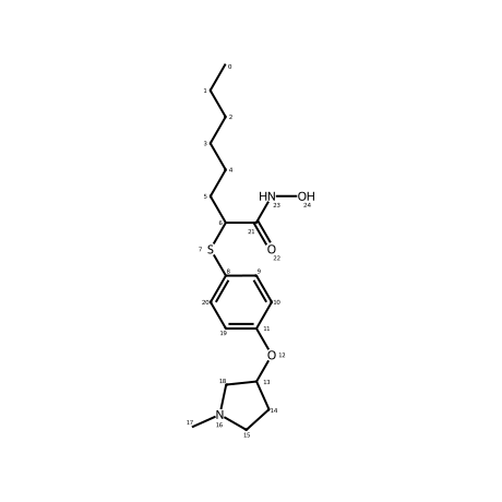 CCCCCCC(Sc1ccc(OC2CCN(C)C2)cc1)C(=O)NO